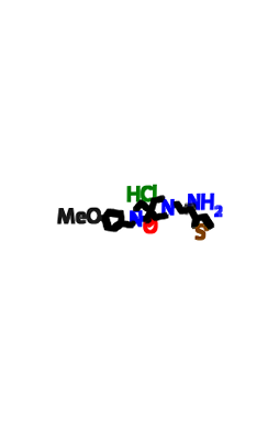 COc1ccc(CN2CCC3(CCN(CC[C@H](N)c4ccsc4)CC3)C2=O)cc1.Cl